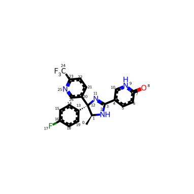 C[C@@H]1NC(c2ccc(=O)[nH]c2)=N[C@]1(c1ccc(F)cc1)c1ccc(C(F)(F)F)nc1